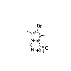 Cc1c(Br)c(C)n2cn[nH]c(=O)c12